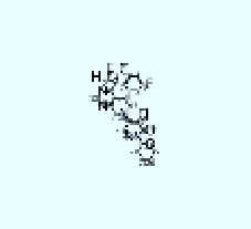 C=C(c1ccc(F)cc1C(F)(F)F)c1ncnc2c1CCN(c1cnn(C3CCCCO3)c(=O)c1Cl)C2